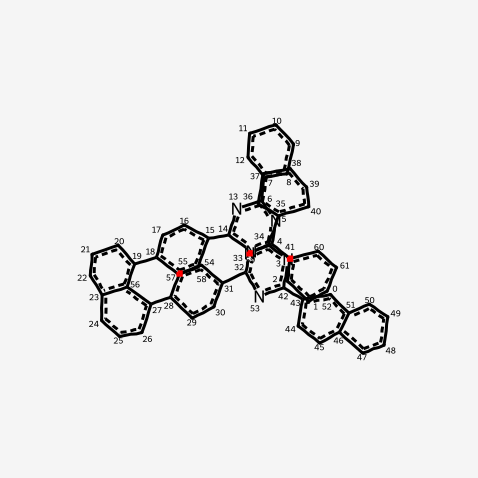 c1ccc(-c2nc(-c3ccccc3)nc(-c3ccc(-c4cccc5cccc(-c6ccc(-c7nc(-c8ccccc8)nc(-c8ccc9ccccc9c8)n7)cc6)c45)cc3)n2)cc1